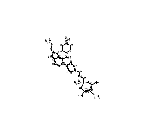 CCCc1cc2c(N[C@H]3CC[C@H](O)CC3)c(-c3ccc(CNCC4(C)C[C@@H]5CC[C@@H](CC(C)C5)C4)cn3)cnc2[nH]1